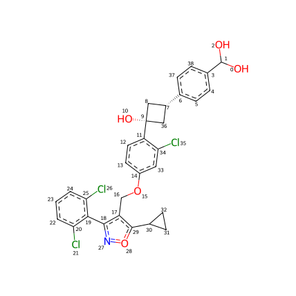 OC(O)c1ccc([C@H]2C[C@](O)(c3ccc(OCc4c(-c5c(Cl)cccc5Cl)noc4C4CC4)cc3Cl)C2)cc1